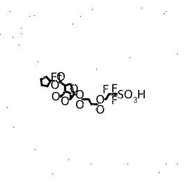 CCC1(OC(=O)C2C3OC4C(OC(=O)C42)C3OC(=O)CCC(=O)OCC(F)C(F)(F)S(=O)(=O)O)CCCC1